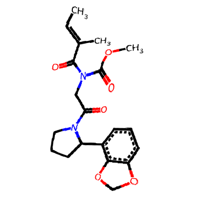 C/C=C(\C)C(=O)N(CC(=O)N1CCCC1c1cccc2c1OCO2)C(=O)OC